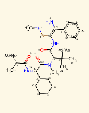 C=NS/C(NC(=O)[C@@H](N(C)C(=O)[C@@H](NC(=O)[C@H](C)NC)C1CCCCC1)C(C)(C)SC)=C(\N)c1ccccc1